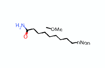 CCCCCCCCCCCCCCCCCC(N)=O.COC